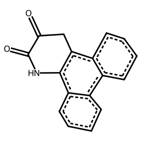 O=C1Cc2c(c3ccccc3c3ccccc23)NC1=O